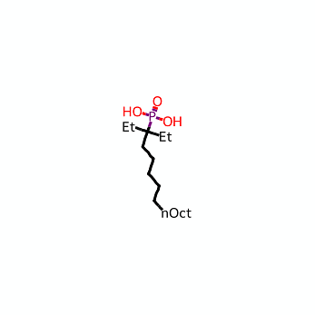 CCCCCCCCCCCCCC(CC)(CC)P(=O)(O)O